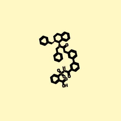 O=C(NS(=O)(=O)c1ccccc1C(=O)O)c1cccc(-c2cccc(CC(=O)N(Cc3ccccc3)[C@@H]3c4ccccc4CC[C@H]3Cc3ccccc3)c2)c1